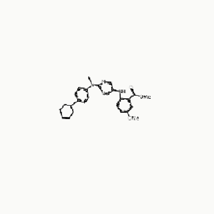 COC(=O)c1cc(OC)ccc1Nc1cnc(N(C)c2ccc(C3CCCCC3)cc2)nc1